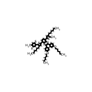 CCCCCCOc1ccc(-c2nc3c(-c4cc(CCCCCC)c(C)s4)ccc(-c4cc(CCCCCC)c(-c5cc(F)c(C)cc5F)s4)c3nc2-c2ccc(OCCCCCC)cc2)cc1